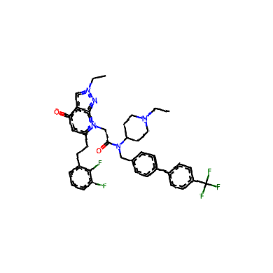 CCN1CCC(N(Cc2ccc(-c3ccc(C(F)(F)F)cc3)cc2)C(=O)Cn2c(CCc3cccc(F)c3F)cc(=O)c3cn(CC)nc32)CC1